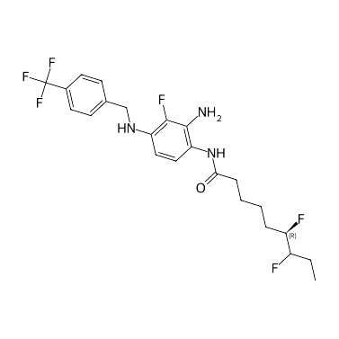 CCC(F)[C@H](F)CCCCC(=O)Nc1ccc(NCc2ccc(C(F)(F)F)cc2)c(F)c1N